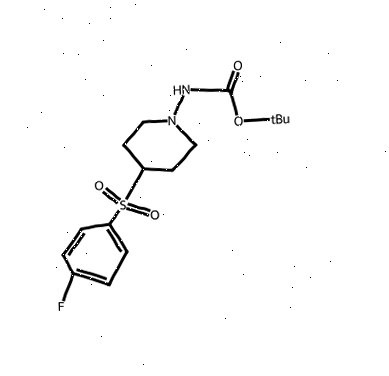 CC(C)(C)OC(=O)NN1CCC(S(=O)(=O)c2ccc(F)cc2)CC1